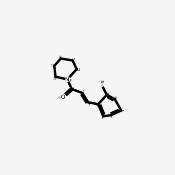 O=C(C=Cc1ccccc1I)N1CCCCC1